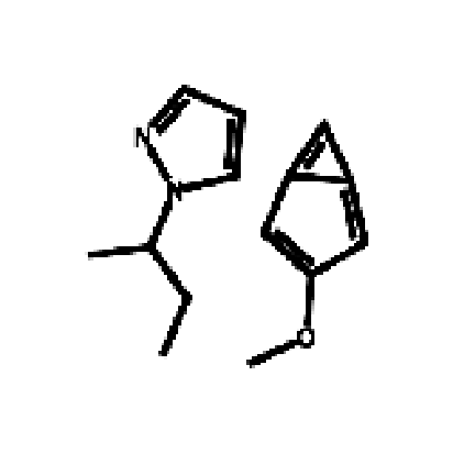 CCC(C)n1cccn1.COc1cc2cc-2c1